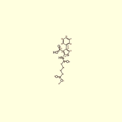 COC(=O)CCCCC(=O)Nc1scc(-c2ccccc2)c1C(=O)O